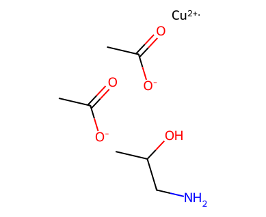 CC(=O)[O-].CC(=O)[O-].CC(O)CN.[Cu+2]